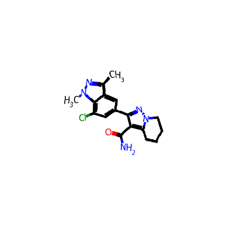 Cc1nn(C)c2c(Cl)cc(-c3nn4c(c3C(N)=O)CCCC4)cc12